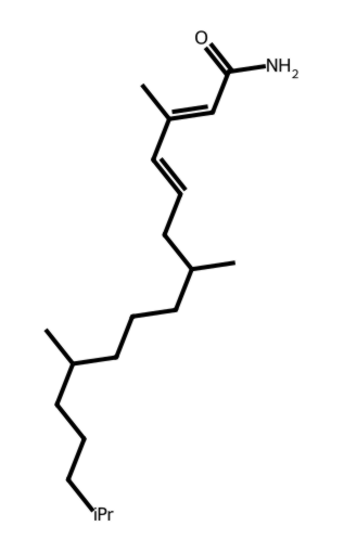 CC(C=CCC(C)CCCC(C)CCCC(C)C)=CC(N)=O